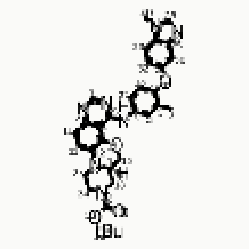 Cc1cc(Nc2ncnc3ccc4c(c23)OC[C@H]2CN(C(=O)OC(C)(C)C)CCN42)ccc1Oc1ccc2c(c1)ncn2C